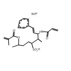 C=CC(=O)NC(C=Cc1ccccc1)C(C)C(CCC(C)OC(=O)C(=C)C)S(=O)(=O)O.[NaH]